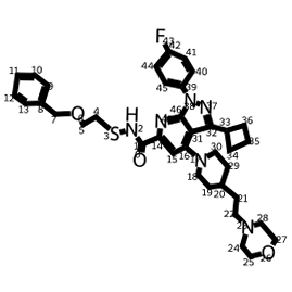 O=C(NSCCOCc1ccccc1)c1cc(N2CCC(CCN3CCOCC3)CC2)c2c(C3CCC3)nn(-c3ccc(F)cc3)c2n1